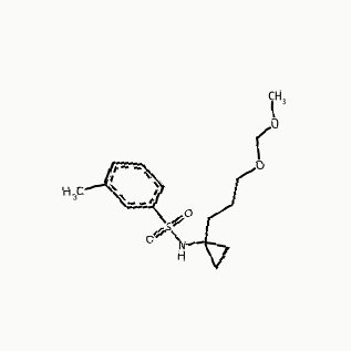 COCOCCCC1(NS(=O)(=O)c2cccc(C)c2)CC1